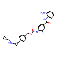 Nc1ccccc1NC(=O)c1ccc(NC(=O)OCc2ccc(C3CC3NCC3CC3)cc2)c(F)c1